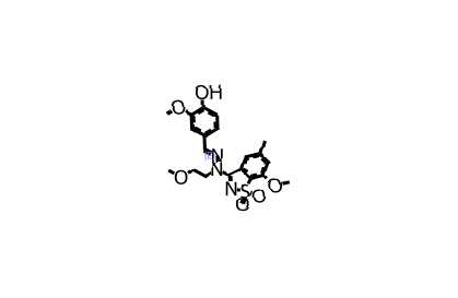 COCCN(/N=C/c1ccc(O)c(OC)c1)C1=NS(=O)(=O)c2c(OC)cc(C)cc21